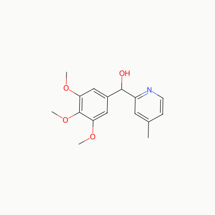 COc1cc(C(O)c2cc(C)ccn2)cc(OC)c1OC